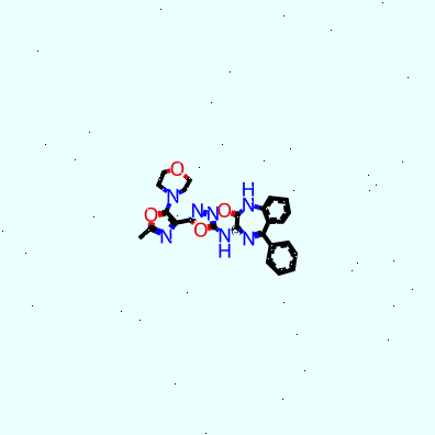 Cc1nc(-c2nnc(N[C@H]3N=C(c4ccccc4)c4ccccc4NC3=O)o2)c(N2CCOCC2)o1